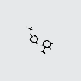 O=C(O)c1c(Oc2ccc(OC(F)(F)F)cc2)ccc(F)c1F